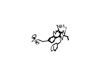 CCc1nc2c(N)nc3cc(CCS(C)(=O)=O)ccc3c2n1CC1CCOCC1